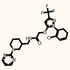 O=C(COc1cc(C(F)(F)F)nn1C1=C(Cl)C=CCC1)NCC1CCCN(c2ncccn2)C1